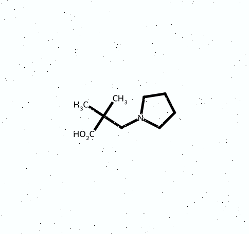 CC(C)(CN1CCCC1)C(=O)O